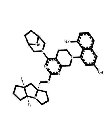 Cc1cccc2cc(O)cc(N3CCc4c(nc(OC[C@]56CCCN5[C@H]5CCC[C@@]5(F)C6)nc4N4CC5CCC(C4)N5)C3)c12